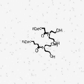 CCCCCCCCCCCC(=O)N(CCO)CCO.CCCCCCCCCCCCCC(=O)N(CCO)CCO